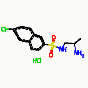 CC(N)CNS(=O)(=O)c1ccc2cc(Cl)ccc2c1.Cl